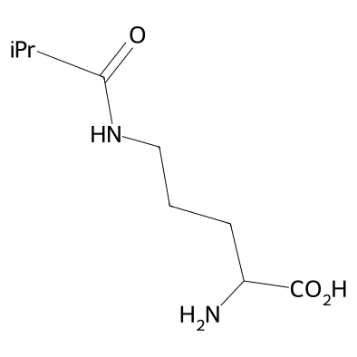 CC(C)C(=O)NCCCC(N)C(=O)O